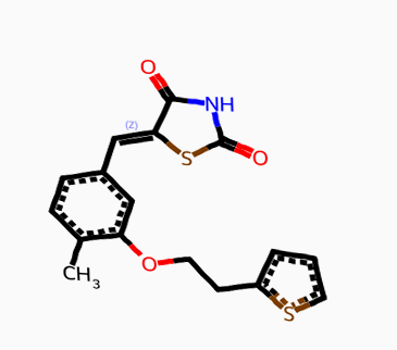 Cc1ccc(/C=C2\SC(=O)NC2=O)cc1OCCc1cccs1